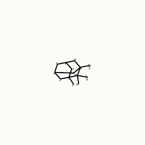 CC12CC3CC(C1)CC(Br)(C3)C2(C)Br